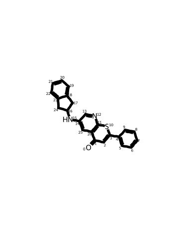 O=c1cc(-c2ccccc2)sc2ncc(NC3Cc4ccccc4C3)cc12